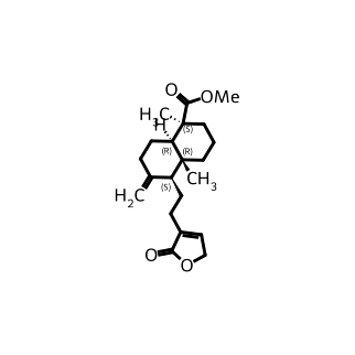 C=C1CC[C@@H]2[C@](C)(CCC[C@]2(C)C(=O)OC)[C@H]1CCC1=CCOC1=O